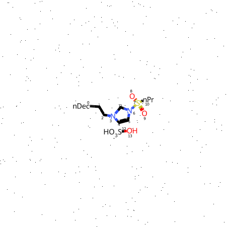 CCCCCCCCCCCCN1C=CN(S(=O)(=O)CCC)C1.O=S(=O)(O)O